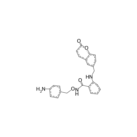 Nc1ccc(CONC(=O)c2ccccc2NCc2ccc3oc(=O)ccc3c2)cc1